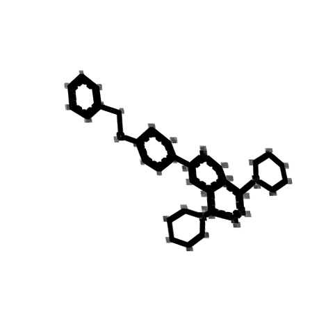 c1ccc(COc2ccc(-c3cc4c(N5CCCCC5)nnc(N5CCCCC5)c4cn3)cc2)cc1